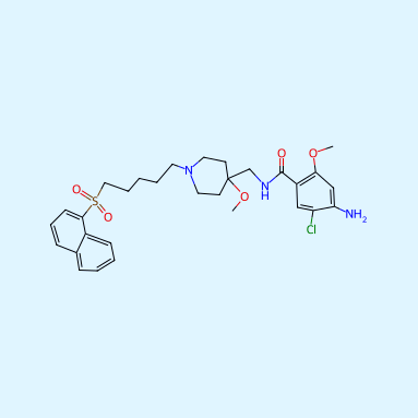 COc1cc(N)c(Cl)cc1C(=O)NCC1(OC)CCN(CCCCCS(=O)(=O)c2cccc3ccccc23)CC1